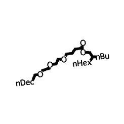 CCCCCCCCCCCOCCOCCOCCCC(=O)OCC(CCCC)CCCCCC